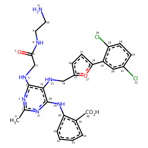 Cc1nc(NCC(=O)NCCN)c(NCc2ccc(-c3cc(Cl)ccc3Cl)o2)c(Nc2ccccc2C(=O)O)n1